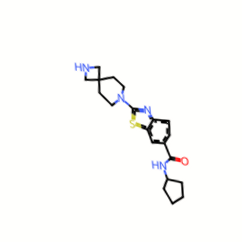 O=C(NC1CCCC1)c1ccc2nc(N3CCC4(CC3)CNC4)sc2c1